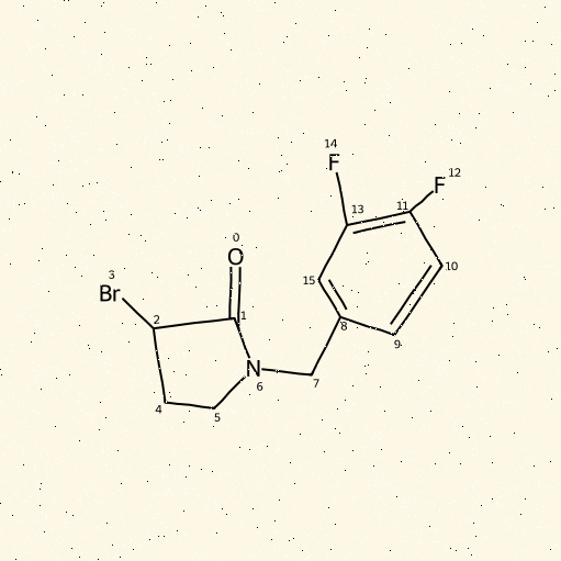 O=C1C(Br)CCN1Cc1ccc(F)c(F)c1